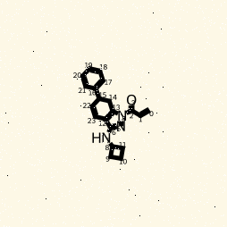 C=CC(=O)n1nc(NC2CCC2)c2c1CC(c1ccccc1)C=C2